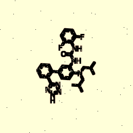 CC(C)CN(CC(C)C)c1ccc(-c2ccccc2-c2nn[nH]n2)cc1NC(=O)Nc1c(F)cccc1F